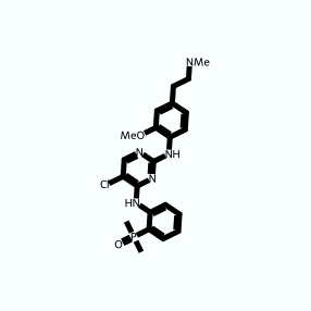 CNCCc1ccc(Nc2ncc(Cl)c(Nc3ccccc3P(C)(C)=O)n2)c(OC)c1